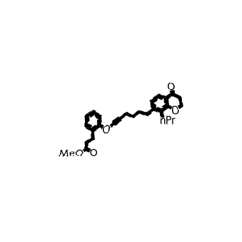 CCCc1c(CCCCC#COc2ccccc2CCC(=O)OC)ccc2c1OCCC2=O